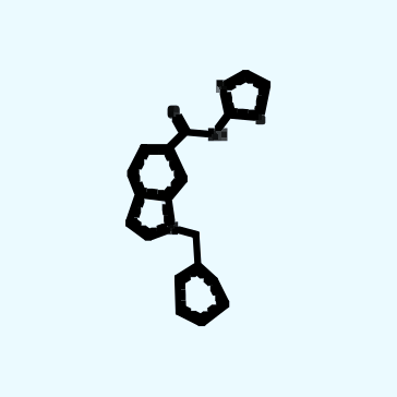 O=C(Nc1nccs1)c1ccc2ccn(Cc3ccccc3)c2c1